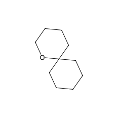 C1CCC2(CC1)CCCCO2